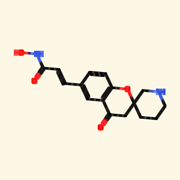 O=C(C=Cc1ccc2c(c1)C(=O)CC1(CCCNC1)O2)NO